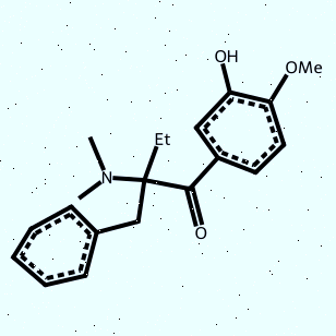 CCC(Cc1ccccc1)(C(=O)c1ccc(OC)c(O)c1)N(C)C